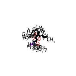 CCCC[C@@H]1O[C@@H]([C@H](/C=C/I)O[Si](C)(C)C(C)(C)C)[C@@H](O[Si](C)(C)C(C)(C)C)[C@@H](O[Si](C)(C)C(C)(C)C)[C@H]1C